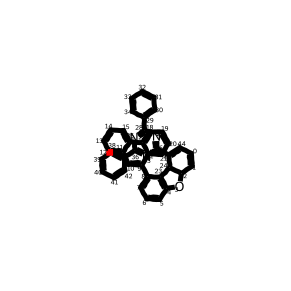 C1=CC2Oc3cccc(-c4cc5ccccc5c5ccccc45)c3C2C(c2nc(-c3ccccc3)nc(-c3ccccc3)n2)=C1